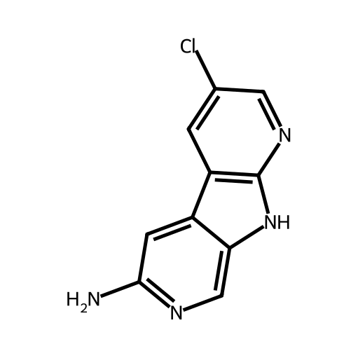 Nc1cc2c(cn1)[nH]c1ncc(Cl)cc12